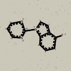 Fc1cccc2c1ccn2-c1ncccn1